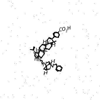 C=C(C)[C@@H]1CC[C@]2(NCCN3C[C@H]4N(Cc5ccccc5)C[C@@H]5CC543)CC[C@]3(C)[C@H](CC[C@@H]4[C@@]5(C)CC=C(c6ccc(C(=O)O)cc6)C(C)(C)[C@@H]5CC[C@]43C)[C@@H]12